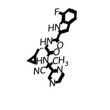 CC(C#N)(NC(=O)[C@H](CC1CC1)NC(=O)c1cc2cccc(F)c2[nH]1)c1cnccn1